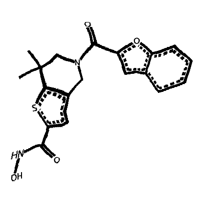 CC1(C)CN(C(=O)c2cc3ccccc3o2)Cc2cc(C(=O)NO)sc21